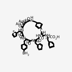 Bc1ccc(C[C@H]2NC(=O)[C@H](Cc3cccs3)NC(=O)[C@H](OC(C)=O)[C@@H](OC(C)=O)C(=O)Nc3ccc(cc3)C[C@H](C(=O)N[C@@H](Cc3ccccc3)C(=O)O)NC(=O)[C@H](Cc3ccccc3)NC2=O)cc1